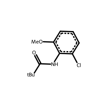 COc1cccc(Cl)c1NC(=O)C(C)(C)C